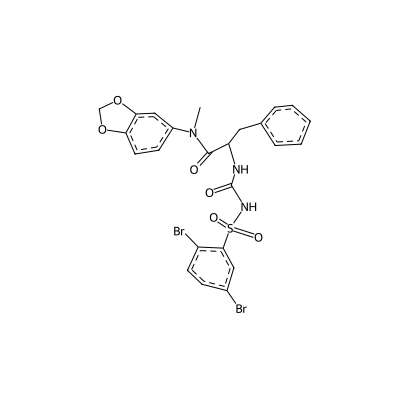 CN(C(=O)C(Cc1ccccc1)NC(=O)NS(=O)(=O)c1cc(Br)ccc1Br)c1ccc2c(c1)OCO2